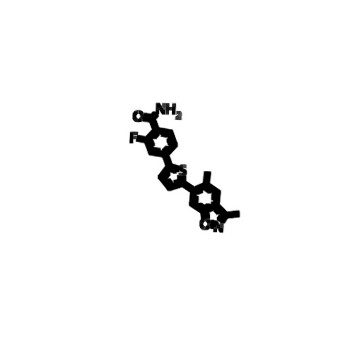 Cc1cc2c(C)noc2cc1-c1ccc(-c2ccc(C(N)=O)c(F)c2)s1